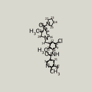 Cc1ncc(C(=O)Nc2cc(Cl)cc(CN3CCN(C(=O)N4CCCC4)C(C)C3)c2C)cc1F